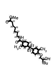 CCC(CC)(c1ccc(OCC(O)C(C)(C)C)c(C)c1)c1ccc(C(=O)NCCCCCCC(=O)OC)c(C)c1